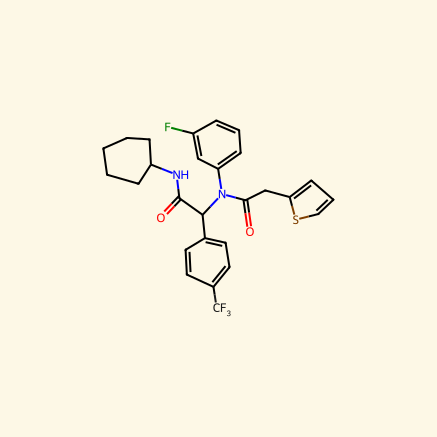 O=C(NC1CCCCC1)C(c1ccc(C(F)(F)F)cc1)N(C(=O)Cc1cccs1)c1cccc(F)c1